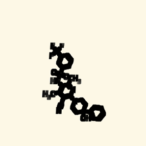 Cc1nc(N2CCC(O)(c3ccccc3)CC2)c(C#N)c(C)c1NS(=O)(=O)c1cccc(C(F)(F)F)c1